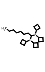 CCCCCCCC(P(C1CCC1)C1CCC1)P(C1CCC1)C1CCC1